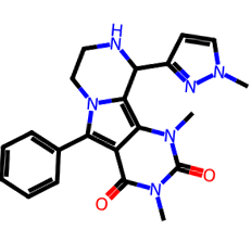 Cn1ccc(C2NCCn3c(-c4ccccc4)c4c(=O)n(C)c(=O)n(C)c4c32)n1